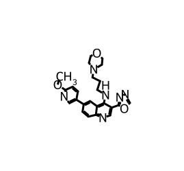 COc1ccc(-c2ccc3ncc(-c4nnco4)c(NCCCN4CCOCC4)c3c2)cn1